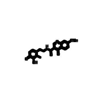 COc1ccc2c(=O)c(C(=O)NCCn3ccc(=O)c(O)c3C)coc2c1